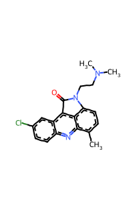 Cc1ccc2c3c(c4cc(Cl)ccc4nc13)C(=O)N2CCN(C)C